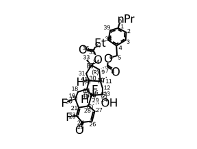 CCCc1ccc(COC(=O)[C@@H]2[C@@]3(C)C[C@H](O)[C@@]4(F)[C@@H](C[C@H](F)C5=C(F)C(=O)C=C[C@@]54C)[C@@H]3C[C@]2(C)OC(=O)CC)cc1